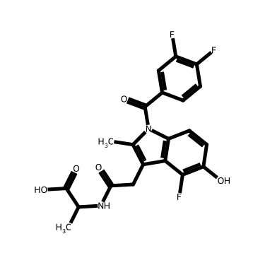 Cc1c(CC(=O)NC(C)C(=O)O)c2c(F)c(O)ccc2n1C(=O)c1ccc(F)c(F)c1